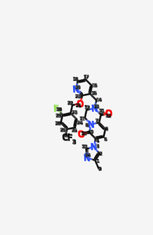 Cc1cn(-c2ccc3n(c2=O)CCN(Cc2cccnc2OCc2ccc(C(F)(F)F)cc2F)C3=O)cn1